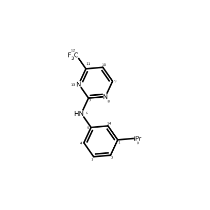 CC(C)c1cccc(Nc2nccc(C(F)(F)F)n2)c1